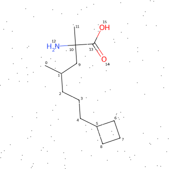 CC(CCCC1CCC1)CC(C)(N)C(=O)O